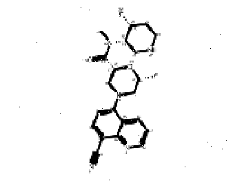 C[C@@H]1CN(c2ccc(C#N)c3ncccc23)C[C@H](C(=O)N(C)[C@H]2CNCC[C@H]2F)O1